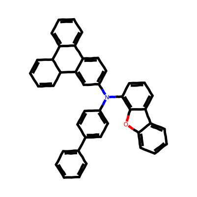 C1=CC2c3ccccc3-c3ccc(N(c4ccc(-c5ccccc5)cc4)c4cccc5c4oc4ccccc45)cc3C2C=C1